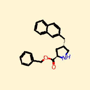 O=C(OCc1ccccc1)[C@H]1C[C@H](Cc2ccc3ccccc3c2)CN1